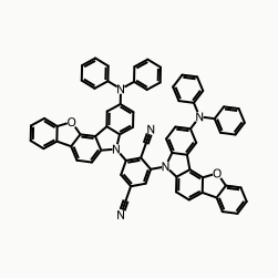 N#Cc1cc(-n2c3ccc(N(c4ccccc4)c4ccccc4)cc3c3c4oc5ccccc5c4ccc32)c(C#N)c(-n2c3ccc(N(c4ccccc4)c4ccccc4)cc3c3c4oc5ccccc5c4ccc32)c1